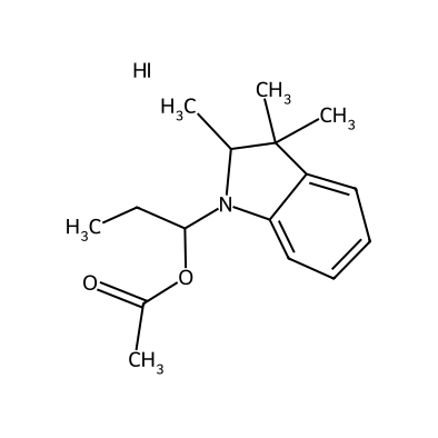 CCC(OC(C)=O)N1c2ccccc2C(C)(C)C1C.I